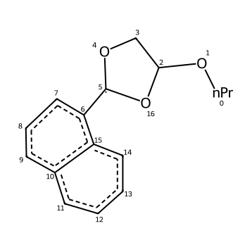 CCCOC1CO[C](c2cccc3ccccc23)O1